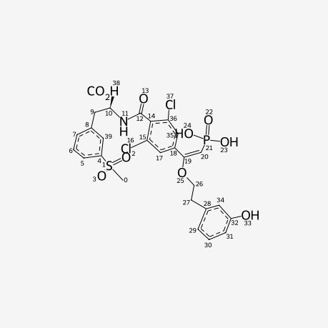 CS(=O)(=O)c1cccc(C[C@H](NC(=O)c2c(Cl)cc(/C(=C\P(=O)(O)O)OCCc3cccc(O)c3)cc2Cl)C(=O)O)c1